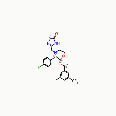 Cc1cc([C@@H](C)O[C@@H]2OCCN(Cc3n[nH]c(=O)[nH]3)[C@@H]2c2ccc(F)cc2)cc(C(F)(F)F)c1